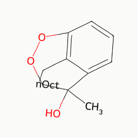 CCCCCCCCCc1c2cccc1C(C)(O)COO2